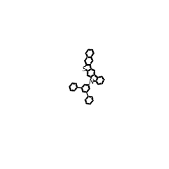 c1ccc(-c2cc(-c3ccccc3)cc(-n3c4ccccc4c4cc5c(cc43)sc3cc4ccccc4cc35)c2)cc1